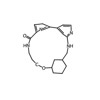 O=C1NCCCOC2CCCC(CNc3cc(ccn3)C3=NC1=CC3)C2